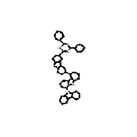 c1ccc(C2=NC(c3ccccc3)NC(c3ccc4sc5ccc(-c6cccc7sc8c(-n9c%10ccccc%10c%10ccccc%109)cccc8c67)cc5c4c3)=N2)cc1